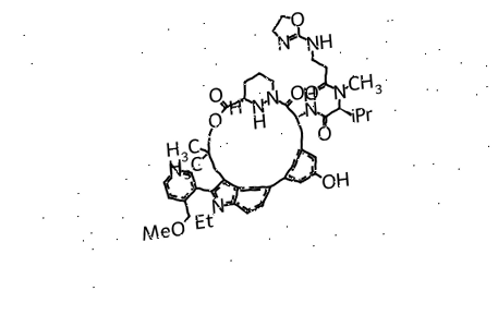 CCn1c(-c2cnccc2COC)c2c3cc(ccc31)-c1cc(O)cc(c1)C[C@H](NC(=O)[C@H](C(C)C)N(C)C(=O)CCNC1=NCCO1)C(=O)N1CCC[C@H](N1)C(=O)OCC(C)(C)C2